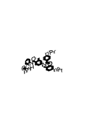 CCCC(=O)Oc1ccccc1NC(=O)c1ccc(N(Cc2ccc(CCC)cc2)C(=O)c2ccc(CCC)cc2)cc1C